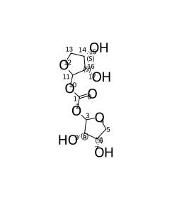 O=C(OC1OC[C@H](O)[C@@H]1O)OC1OC[C@H](O)[C@@H]1O